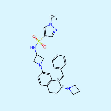 Cn1cc(S(=O)(=O)NC2CN(c3ccc4c(c3)[C@@H](Cc3ccccc3)[C@@H](N3CCC3)CC4)C2)cn1